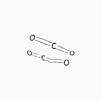 O=C=O.O=C=O